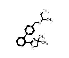 CCC(C)OCc1ccc(-c2ccccc2C2=NC(C)(C)CO2)cc1